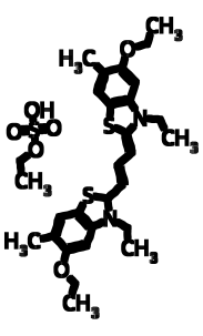 CCOS(=O)(=O)O.CCOc1cc2c(cc1C)SC(=CC=CC1Sc3cc(C)c(OCC)cc3N1CC)N2CC